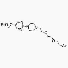 CCOC(=O)c1cnc(N2CCN(CCOCCOCCC(C)=O)CC2)nc1